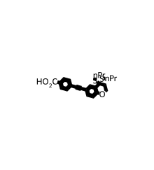 CCCSC1(SCCC)CCOc2ccc(C#Cc3ccc(C(=O)O)cc3)cc21